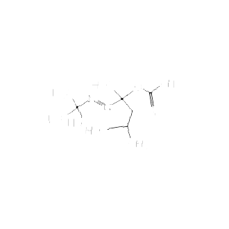 CC(=S)OC(C)(CC(C)C)N=NC(C)(C)C